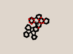 c1ccc(-c2ccccc2-c2c(-c3ccccc3)cccc2-c2ccccc2N(c2ccccc2)c2ccc3c(c2)C(c2ccccc2)(c2ccccc2)c2ccccc2-3)cc1